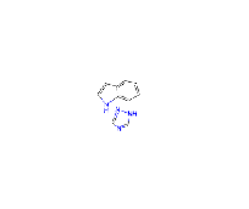 c1ccc2[nH]ccc2c1.c1nc[nH]n1